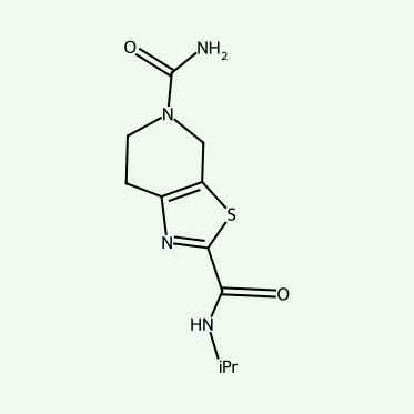 CC(C)NC(=O)c1nc2c(s1)CN(C(N)=O)CC2